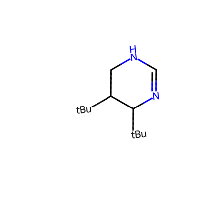 CC(C)(C)C1CNC=NC1C(C)(C)C